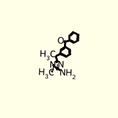 CC(c1cccc(C(=O)c2ccccc2)c1)c1nc(N)n(C)n1